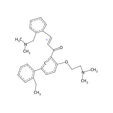 CCc1ccccc1-c1ccc(OCCN(C)C)c(C(=O)/C=C/c2ccccc2CN(C)C)c1